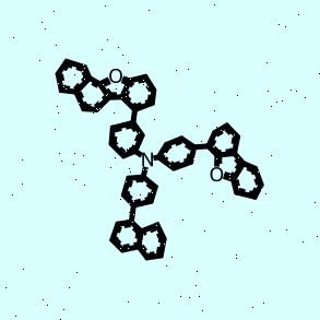 c1cc(-c2cccc3oc4c5ccccc5ccc4c23)cc(N(c2ccc(-c3cccc4ccccc34)cc2)c2ccc(-c3cccc4c3oc3ccccc34)cc2)c1